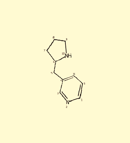 c1cncc(CC2CCCN2)c1